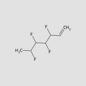 C=CC(F)C(F)C(F)C(C)F